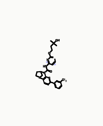 C=C(/N=C(\C=C/C)NC(=O)N1c2nc(-c3cccc(C(F)(F)F)c3)ccc2N2CCC1C2)OCCC(C)(C)O